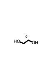 OCCO.[K]